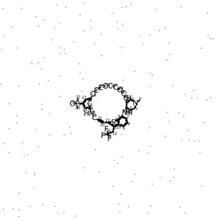 CN1CC[C@H]2Nc3cccc4c(CC(F)(F)F)c(sc34)C#CCNc3cc(cc(P(C)(C)=O)c3)OCCOCCOCC[C@H]2C1